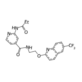 CCC(=O)Nc1cc(C(=O)NCCOc2ccc3cc(C(F)(F)F)ccc3n2)ccn1